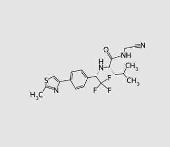 Cc1nc(-c2ccc([C@H](N[C@@H](CC(C)C)C(=O)NCC#N)C(F)(F)F)cc2)cs1